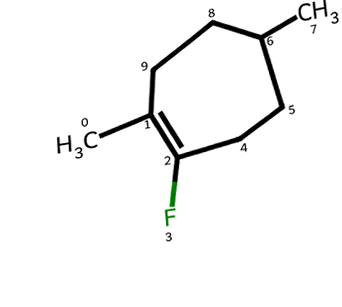 CC1=C(F)CCC(C)CC1